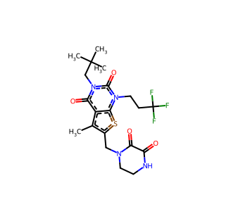 Cc1c(CN2CCNC(=O)C2=O)sc2c1c(=O)n(CC(C)(C)C)c(=O)n2CCC(F)(F)F